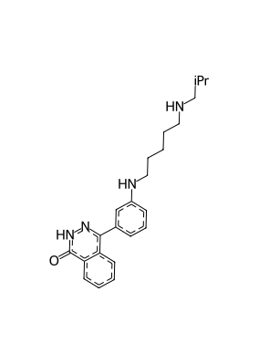 CC(C)CNCCCCCNc1cccc(-c2n[nH]c(=O)c3ccccc23)c1